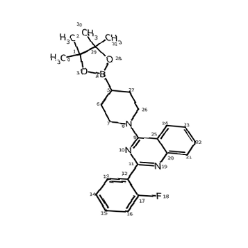 CC1(C)OB(C2CCN(c3nc(-c4ccccc4F)nc4ccccc34)CC2)OC1(C)C